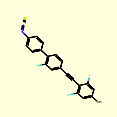 CCCc1cc(F)c(C#Cc2ccc(-c3ccc(N=C=S)cc3)c(F)c2)c(F)c1